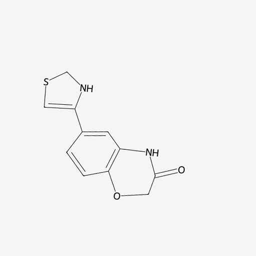 O=C1COc2ccc(C3=CSCN3)cc2N1